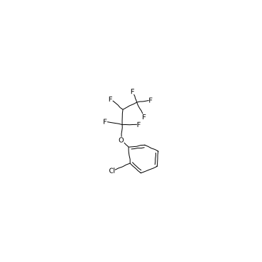 FC(C(F)(F)F)C(F)(F)Oc1ccccc1Cl